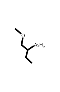 CCC([AsH2])COC